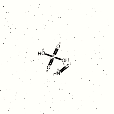 N=S.O=S(=O)(O)O